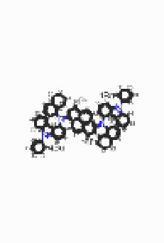 CCCc1cc(N(c2cccc3c2CCCC3)c2cccc3c2c2ccccc2n3-c2ccccc2C(C)(C)C)c2ccc3c(CCC)cc(N(c4cccc5c4CCCC5)c4cccc5c4c4ccccc4n5-c4ccccc4C(C)(C)C)c4ccc1c2c34